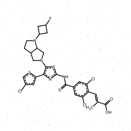 C/C(=C\c1c(Cl)cc(C(=O)Nc2nc(-c3cc(Cl)cs3)c(N3CC4CCN(C5CC(F)C5)C4C3)s2)cc1Cl)C(=O)O